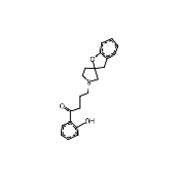 O=C(CCCN1CCC2(Cc3ccccc3O2)C1)c1ccccc1O